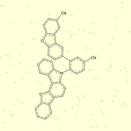 N#Cc1ccc(-n2c3ccccc3c3c4oc5ccccc5c4ccc32)c(-c2ccc3oc4ccc(C#N)cc4c3c2)c1